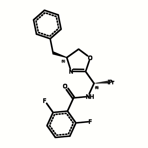 CC(C)[C@H](NC(=O)c1c(F)cccc1F)C1=N[C@@H](Cc2ccccc2)CO1